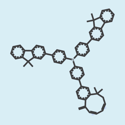 C=C1/C=C\C=C/CC(C)(C)c2cc(-c3ccc(N(c4ccc(-c5ccc6c(c5)C(C)(C)c5ccccc5-6)cc4)c4ccc(-c5ccc6c(c5)C(C)(C)c5ccccc5-6)cc4)cc3)ccc21